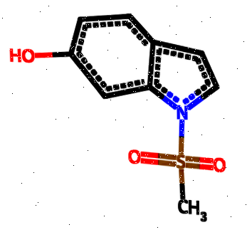 CS(=O)(=O)n1ccc2ccc(O)cc21